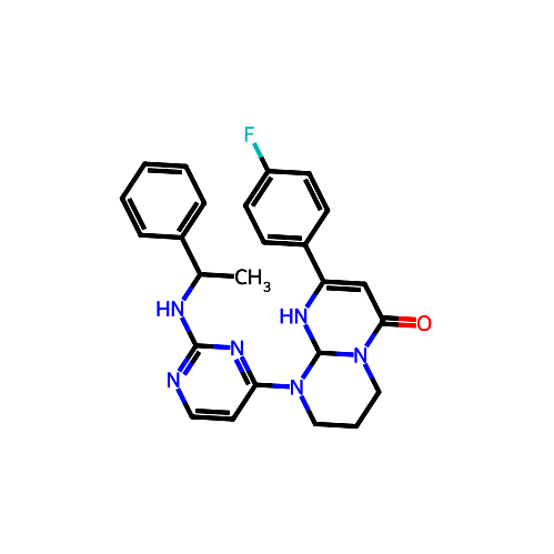 CC(Nc1nccc(N2CCCN3C(=O)C=C(c4ccc(F)cc4)NC32)n1)c1ccccc1